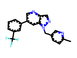 Cc1ccc(Cn2ncc3ncc(-c4cccc(C(F)(F)F)c4)cc32)cn1